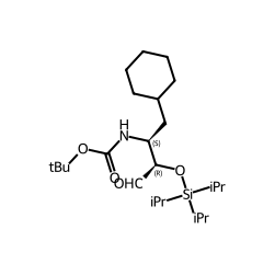 CC(C)[Si](O[C@@H](C=O)[C@H](CC1CCCCC1)NC(=O)OC(C)(C)C)(C(C)C)C(C)C